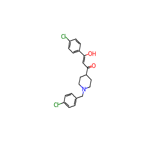 O=C(C=C(O)c1ccc(Cl)cc1)C1CCN(Cc2ccc(Cl)cc2)CC1